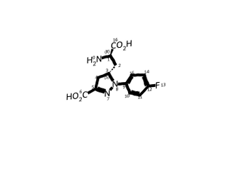 N[C@H](C[C@H]1CC(C(=O)O)=NN1c1ccc(F)cc1)C(=O)O